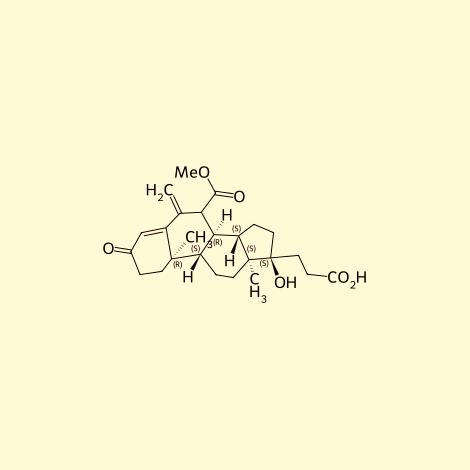 C=C1C2=CC(=O)CC[C@]2(C)[C@H]2CC[C@@]3(C)[C@@H](CC[C@]3(O)CCC(=O)O)[C@@H]2C1C(=O)OC